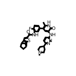 Cc1[nH]c(=O)c(Nc2ccc(C3CCN(C)CC3)nn2)cc1-c1ccc(F)c(NC(=O)c2cc3c(s2)C2CCC3C2)c1